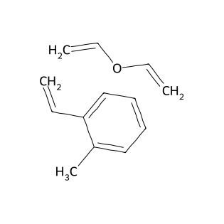 C=COC=C.C=Cc1ccccc1C